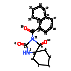 O=C1NC2(CCCCC2)C(=O)N1C(=O)c1cccc2ccccc12